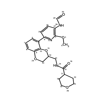 COc1nc(-c2cccc3c2OC(CNC(=O)C2CCOCC2)CO3)ccc1NC=O